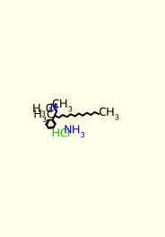 CCCCCCCCCCCCC(C)(CN(C)C)c1ccccc1.Cl.N